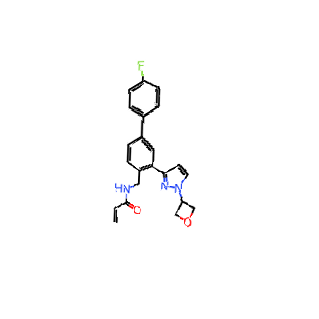 C=CC(=O)NCc1ccc(-c2ccc(F)cc2)cc1-c1ccn(C2COC2)n1